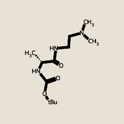 C[C@@H](NC(=O)OC(C)(C)C)C(=O)NCCN(C)C